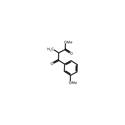 COC(=O)C(C)C(=O)c1cccc(OC)c1